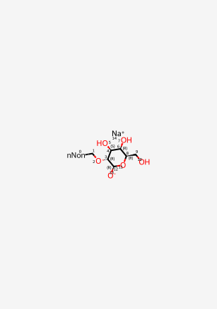 CCCCCCCCCCO[C@@H]1[C@@H](O)[C@@H](O)[C@@H](CO)O[C@H]1[O-].[Na+]